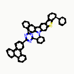 c1ccc(-c2nc(-c3ccc4c5ccccc5c5ccccc5c4c3)nc(-c3ccccc3-n3c4ccccc4c4cc5c(cc43)sc3c(-c4ccccc4)cccc35)n2)cc1